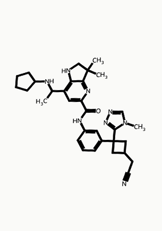 CC(NC1CCCC1)c1cc(C(=O)Nc2cccc(C3(c4nncn4C)CC(CC#N)C3)c2)nc2c1NCC2(C)C